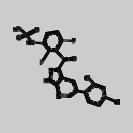 CCCS(=O)(=O)Nc1ccc(F)c(C(=O)c2n[nH]c3ncc(-c4ccc(Cl)cc4Cl)cc23)c1F